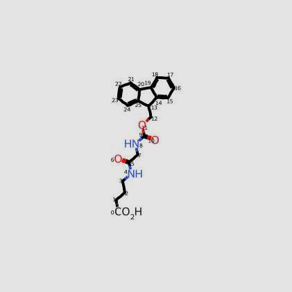 O=C(O)CCCNC(=O)CNC(=O)OCC1c2ccccc2-c2ccccc21